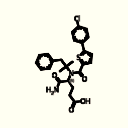 CC(C)(Cc1ccccc1)N(C(=O)c1ccc(-c2ccc(Cl)cc2)s1)[C@@H](CCC(=O)O)C(N)=O